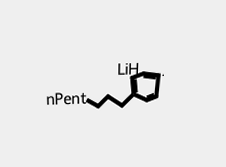 CCCCCCCCc1cc[c]cc1.[LiH]